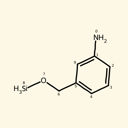 Nc1cccc(CO[SiH3])c1